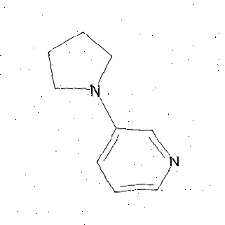 [c]1ccc(N2CCCC2)cn1